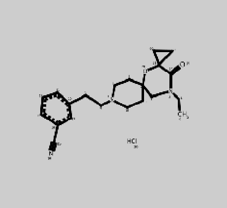 CCN1CC2(CCN(CCc3cccc(C#N)c3)CC2)OC2(CC2)C1=O.Cl